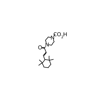 CC1(C)CCCC(C)(C)C1/C=C/C(=O)N1CCN(C(=O)O)CC1